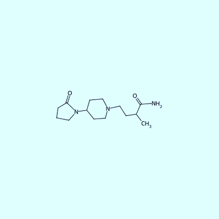 CC(CCN1CCC(N2CCCC2=O)CC1)C(N)=O